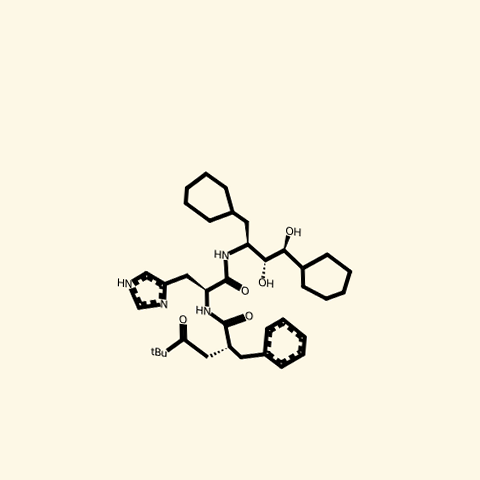 CC(C)(C)C(=O)C[C@@H](Cc1ccccc1)C(=O)N[C@@H](Cc1c[nH]cn1)C(=O)N[C@@H](CC1CCCCC1)[C@@H](O)[C@@H](O)C1CCCCC1